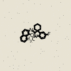 CN1c2ccc(F)cc2C2(CCCCC2)C12C=Nc1ccc3ccccc3c1O2